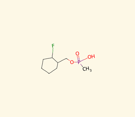 CP(=O)(O)OCC1CCCCC1F